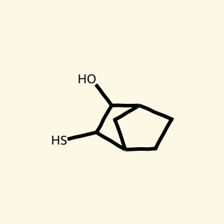 OC1C2CCC(C2)C1S